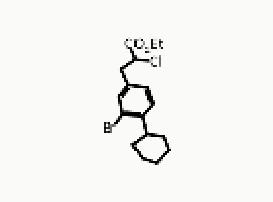 CCOC(=O)C(Cl)Cc1ccc(C2CCCCC2)c(Br)c1